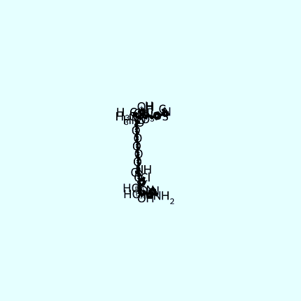 Cc1ncsc1-c1ccc(CNC(=O)[C@@H]2C[C@@H](O)CN2C(=O)[C@@H](NC(=O)CCOCCOCCOCCOCCOCCNC(=O)COc2cc([C@@H](O)[C@H]3O[C@@H](n4ccc5c(N)ncnc54)[C@H](O)[C@@H]3O)ccc2Cl)C(C)(C)C)cc1